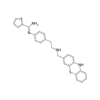 N/C(=N\c1ccc(CCNCc2ccc3c(c2)Sc2ccccc2N3)cc1)c1cccs1